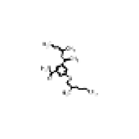 C=C/C=C(/C)SC(=C)c1cc(OC[C@H](C)CCCC)cc(C(N)=O)c1